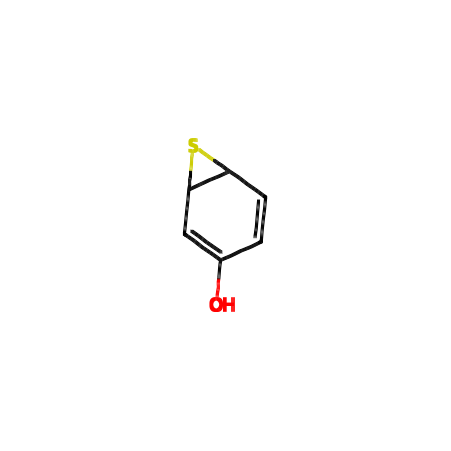 OC1=CC2SC2C=C1